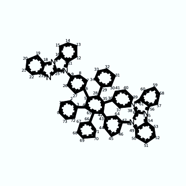 c1ccc(-c2c(-c3ccc(-n4c5ccccc5n5c6ccccc6nc45)cc3)c(-c3ccccc3)c(-c3ccccc3)c(-c3cccc(-n4c5ccccc5n5c6ccccc6nc45)c3)c2-c2ccccc2)cc1